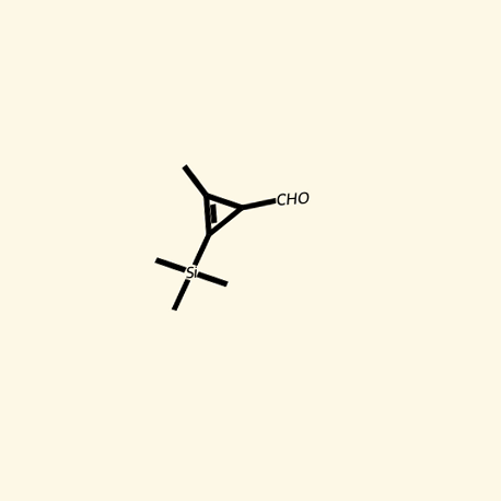 CC1=C([Si](C)(C)C)C1C=O